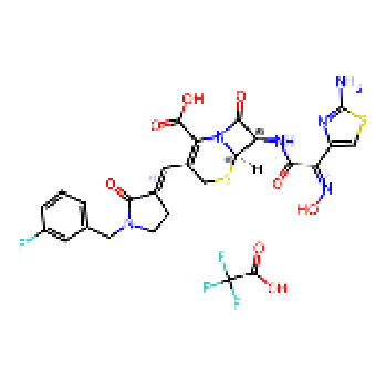 Nc1nc(/C(=N/O)C(=O)N[C@@H]2C(=O)N3C(C(=O)O)=C(/C=C4\CCN(Cc5cccc(F)c5)C4=O)CS[C@H]23)cs1.O=C(O)C(F)(F)F